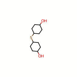 OC1CCC(SC2CCC(O)CC2)CC1